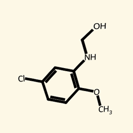 COc1ccc(Cl)cc1NCO